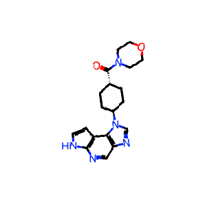 O=C([C@H]1CC[C@H](n2cnc3cnc4[nH]ccc4c32)CC1)N1CCOCC1